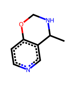 CC1NCOc2ccncc21